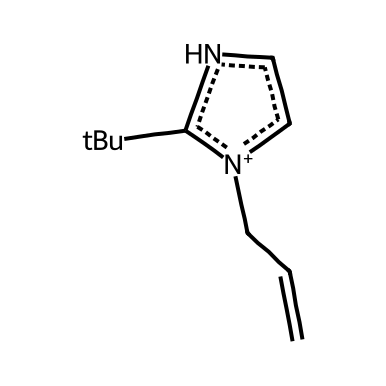 C=CC[n+]1cc[nH]c1C(C)(C)C